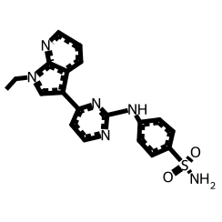 CCn1cc(-c2ccnc(Nc3ccc(S(N)(=O)=O)cc3)n2)c2cccnc21